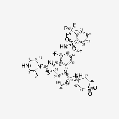 C[C@H]1CNC[C@H](C)N1c1nc(-c2cccc(NS(=O)(=O)c3c(F)cccc3C(F)(F)F)c2F)c(-c2ccnc(NC3CCS(=O)(=O)CC3)n2)s1